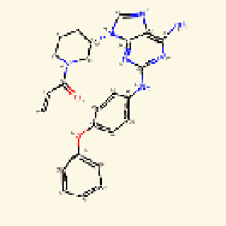 C=CC(=O)N1CCC[C@H](n2cnc3c(N)nc(Nc4ccc(Oc5ccccc5)cc4)nc32)C1